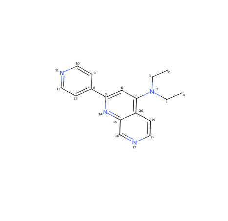 CCN(CC)c1cc(-c2ccncc2)nc2cnccc12